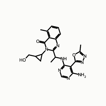 Cc1nnc(-c2c(N)ncnc2NC(C)c2nc3cccc(C)c3c(=O)n2C2CC2CO)o1